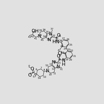 COC(=O)C1(C)CCC(N2CCc3c(nc(C(=O)Nc4cccc(-c5cccc(NC(=O)c6nc7c(n6C)CCN(CC(C)O)C7)c5C)c4Cl)n3C)C2)CC1